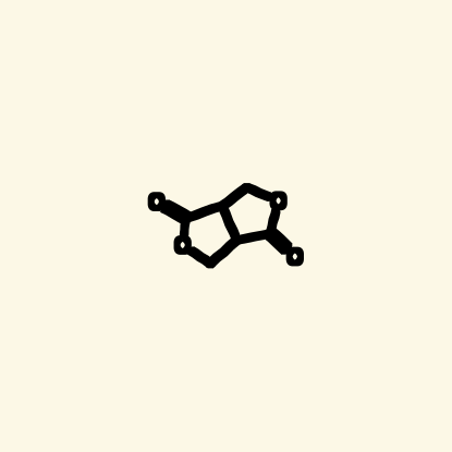 O=C1OCC2C(=O)OCC12